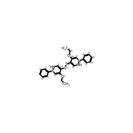 CCOC1=CN(c2ccccc2)NC=C1SSC1=CNN(c2ccccc2)C=C1OCC